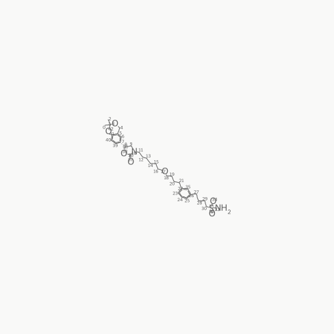 CC1(C)OCc2cc([C@@H]3CN(CCCCCCOCCCCc4cccc(CCCCS(N)(=O)=O)c4)C(=O)O3)ccc2O1